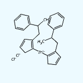 CC(CC1=[C]([Zr+2][C]2=C(CC(C)c3ccccc3)C=CC2)CC=C1)c1ccccc1.[Cl-].[Cl-]